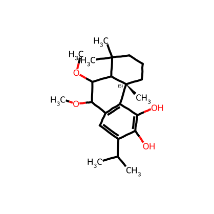 COC1c2cc(C(C)C)c(O)c(O)c2[C@@]2(C)CCCC(C)(C)C2C1OC